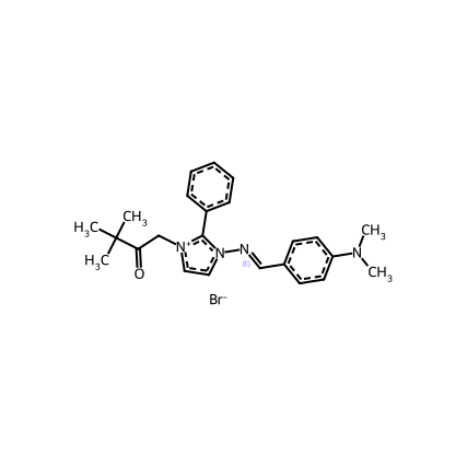 CN(C)c1ccc(/C=N/n2cc[n+](CC(=O)C(C)(C)C)c2-c2ccccc2)cc1.[Br-]